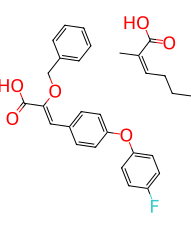 CCCC=C(C)C(=O)O.O=C(O)C(=Cc1ccc(Oc2ccc(F)cc2)cc1)OCc1ccccc1